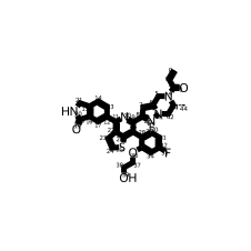 C=CC(=O)N1Cc2cc(-c3nc(-c4ccc5c(c4)C(=O)NC5)c4ccsc4c3-c3c(F)cc(F)cc3OCCO)nn2C[C@H]1C